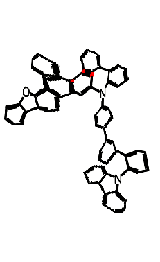 c1ccc(-c2cccc(-c3ccccc3N(c3ccc(-c4cccc(-c5ccccc5-n5c6ccccc6c6ccccc65)c4)cc3)c3ccc(-c4ccccc4-c4cccc5c4oc4ccccc45)cc3)c2)cc1